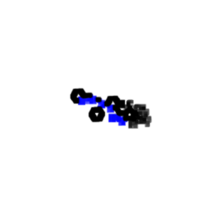 CCC1(C)c2n[nH]c(-c3cccc(N(CNCc4ccccn4)c4ccccc4)n3)c2C(C)C1(C)C